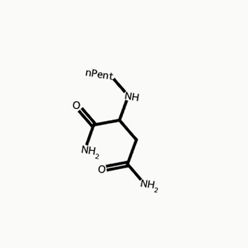 CCCCCNC(CC(N)=O)C(N)=O